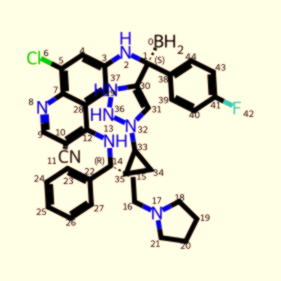 B[C@@](Nc1cc(Cl)c2ncc(C#N)c(N[C@H](CCN3CCCC3)c3ccccc3)c2c1)(C1=CN(C2CC2)NN1)c1ccc(F)cc1